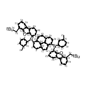 Cc1cccc(N(c2ccc3ccc4c(N(c5cccc(C)c5)c5cccc6c5oc5c(CC(C)(C)C)cccc56)ccc5ccc2c3c54)c2cccc3c2oc2c(CC(C)(C)C)cccc23)c1